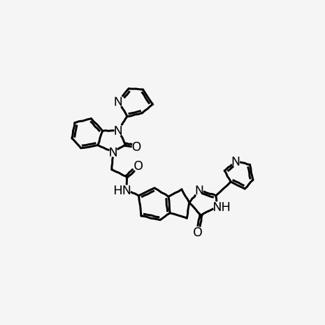 O=C(Cn1c(=O)n(-c2ccccn2)c2ccccc21)Nc1ccc2c(c1)CC1(C2)N=C(c2cccnc2)NC1=O